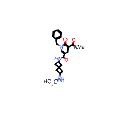 CNC(=O)c1cc(C(=O)NC2CC3(CC(NC(=O)O)C3)C2)cn(Cc2ccccc2)c1=O